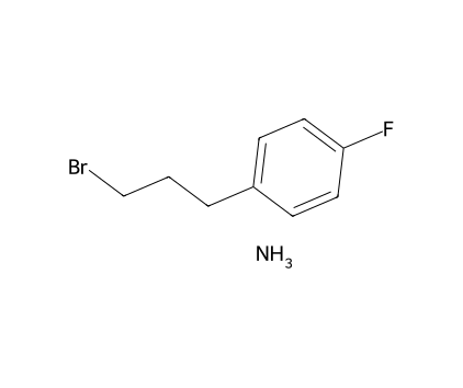 Fc1ccc(CCCBr)cc1.N